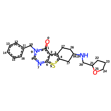 O=c1c2c3c(sc2ncn1Cc1ccccc1)CC(NCC1CCCO1)CC3